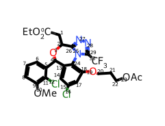 CCOC(=O)CC1OC(c2cccc(OC)c2Cl)c2cc(Cl)cc(OCCCOC(C)=O)c2-n2c1nnc2C(F)(F)F